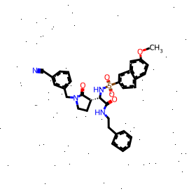 COc1ccc2ccc(S(=O)(=O)NC(C(=O)NCCc3ccccc3)[C@@H]3CCN(Cc4cccc(C#N)c4)C3=O)cc2c1